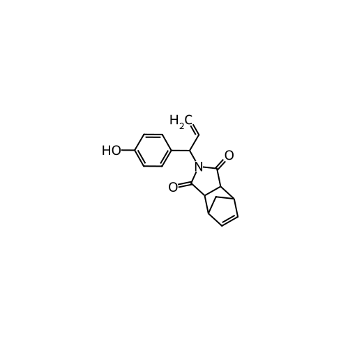 C=CC(c1ccc(O)cc1)N1C(=O)C2C3C=CC(C3)C2C1=O